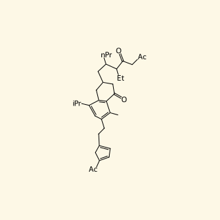 CCCC(CC1CC(=O)c2c(C)c(CCC3=CC=C(C(C)=O)C3)cc(C(C)C)c2C1)C(CC)C(=O)CC(C)=O